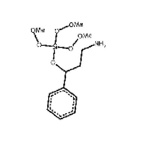 COO[Si](OOC)(OOC)OC(CCN)c1ccccc1